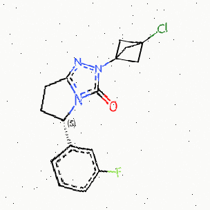 O=c1n(C23CC(Cl)(C2)C3)nc2n1[C@H](c1cccc(F)c1)CC2